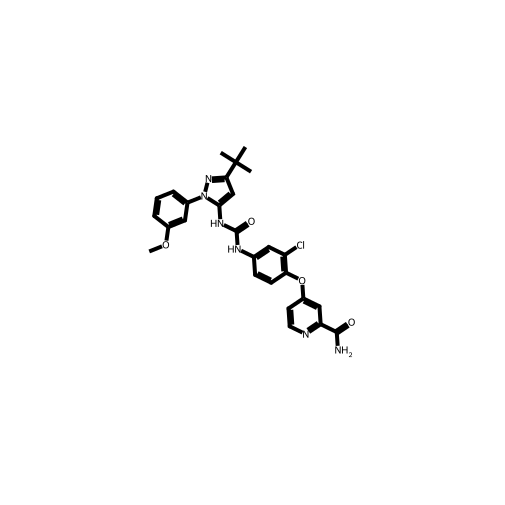 COc1cccc(-n2nc(C(C)(C)C)cc2NC(=O)Nc2ccc(Oc3ccnc(C(N)=O)c3)c(Cl)c2)c1